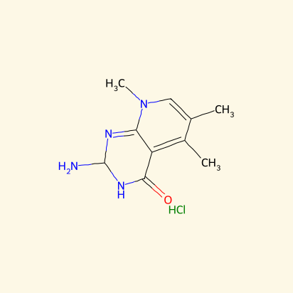 CC1=CN(C)C2=NC(N)NC(=O)C2=C1C.Cl